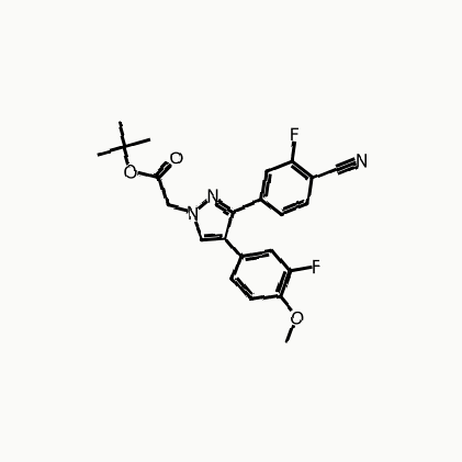 COc1ccc(-c2cn(CC(=O)OC(C)(C)C)nc2-c2ccc(C#N)c(F)c2)cc1F